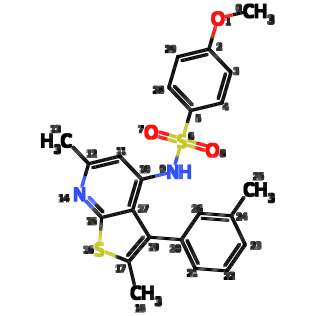 COc1ccc(S(=O)(=O)Nc2cc(C)nc3sc(C)c(-c4cccc(C)c4)c23)cc1